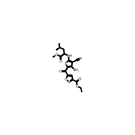 CCOC(=O)c1cc(C(=O)c2sc(NC(CC(C)C)C(=O)OC)c(C#N)c2N)on1